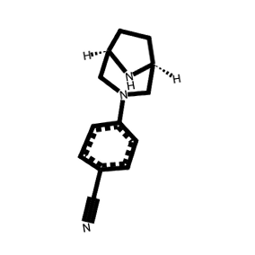 N#Cc1ccc(N2C[C@H]3CC[C@@H](C2)N3)cc1